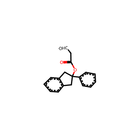 O=[C]CC(=O)OC1(c2ccccc2)Cc2ccccc2C1